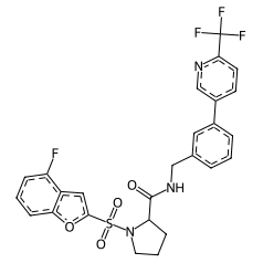 O=C(NCc1cccc(-c2ccc(C(F)(F)F)nc2)c1)C1CCCN1S(=O)(=O)c1cc2c(F)cccc2o1